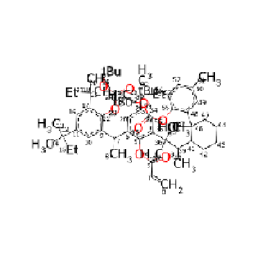 C=CC(=O)Oc1c(C(C)c2cc(C(C)(C)CC)cc(C(C)(C)CC)c2OC(=O)OC(C)(C)C)cc(C(C)(C)CC)cc1C(C)(C)C(C)C1CCCCC1(C)c1cc(C)cc(C(C)(C)C)c1OC(=O)OC(C)(C)C